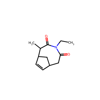 CCN1C(=O)CC2C=CC(C2)C(C)C1=O